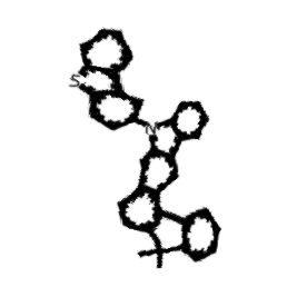 CC1(C)c2ccccc2-c2c1ccc1cc3c(cc21)c1ccccc1n3-c1ccc2sc3ccccc3c2c1